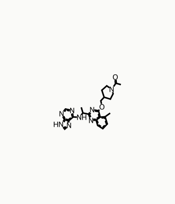 CC(=O)N1CCC(COc2nc(C(C)Nc3ncnc4[nH]cnc34)nc3cccc(C)c23)CC1